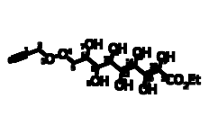 C#CCOOCC(O)C(O)C(O)/C(O)=C(O)/C(O)=C(\O)C(=O)OCC